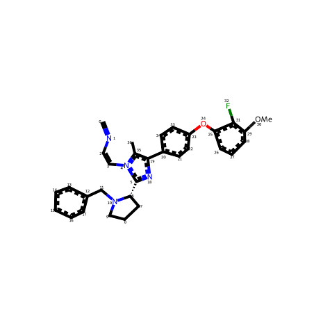 C=N/C=C\n1c([C@@H]2CCCN2Cc2ccccc2)nc(-c2ccc(Oc3cccc(OC)c3F)cc2)c1C